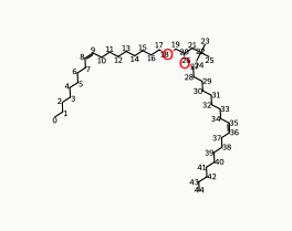 CCCCCCCC/C=C\CCCCCCCCOCC(CC(C)(C)C)OCCCCCCCC/C=C\CCCCCCCC